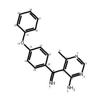 Cc1ncnc(N)c1C(=N)c1ccc(Oc2ccccc2)cc1